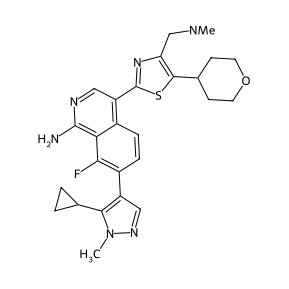 CNCc1nc(-c2cnc(N)c3c(F)c(-c4cnn(C)c4C4CC4)ccc23)sc1C1CCOCC1